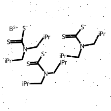 CC(C)CN(CC(C)C)C(=S)[S-].CC(C)CN(CC(C)C)C(=S)[S-].CC(C)CN(CC(C)C)C(=S)[S-].[B+3]